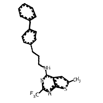 Cc1cc2c(NCCCc3ccc(-c4ccccc4)cc3)nc(C(F)(F)F)nc2s1